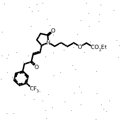 CCOC(=O)COCCCCN1C(=O)CCC1C=CC(=O)Cc1cccc(C(F)(F)F)c1